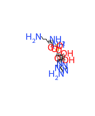 NCCCC[C@H](N)C(=O)NS(=O)(=O)OC[C@H]1O[C@@H](n2cnc3c(N)ncnc32)[C@H](O)[C@@H]1O